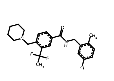 Cc1ccc(Cl)cc1CNC(=O)c1ccc(CN2CCCCC2)c(C(C)(F)F)c1